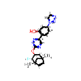 C[C@@]12C=C[C@@](C)(C1)[C@H](F)[C@@H](Oc1ncc(-c3ccc(-n4ccnn4)cc3O)nn1)C2